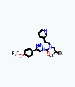 CCC(CC)CN(CCc1cccnc1)C(=O)n1cc(-c2ccc(OC(F)(F)F)cc2)nn1